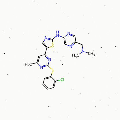 Cc1cc(-c2cnc(Nc3cnc(CN(C)C)cn3)s2)nc(Sc2ccccc2Cl)n1